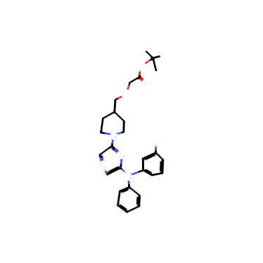 CC(C)(C)OC(=O)COCC1CCN(c2cncc(N(c3ccccc3)c3cccc(Cl)c3)n2)CC1